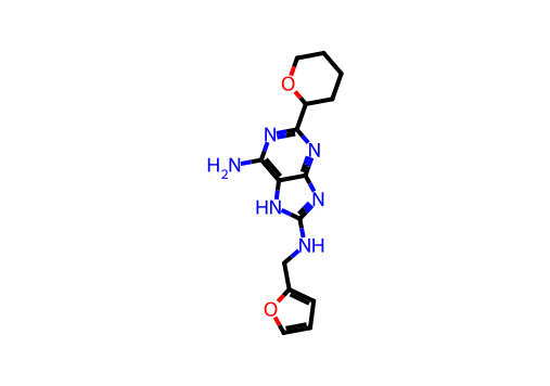 Nc1nc(C2CCCCO2)nc2nc(NCc3ccco3)[nH]c12